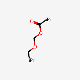 CC(C)COCOC(=O)C(C)C